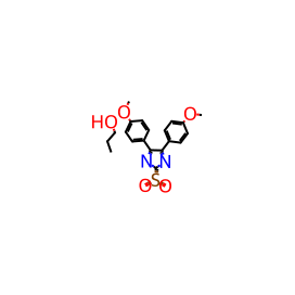 CCCO.COc1ccc(C2=NC(=S(=O)=O)N=C2c2ccc(OC)cc2)cc1